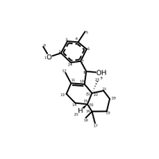 COc1cc(C)cc(C(O)C2=C(C)CC[C@H]3C(C)(C)CCC[C@]23C)c1